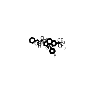 O=C(NCC1(O)CCCCC1)[C@@H]1CC[C@@]2(S(=O)(=O)c3ccc(F)cc3)c3ccc(C(F)(C(F)(F)F)C(F)(F)F)cc3CC[C@@H]12